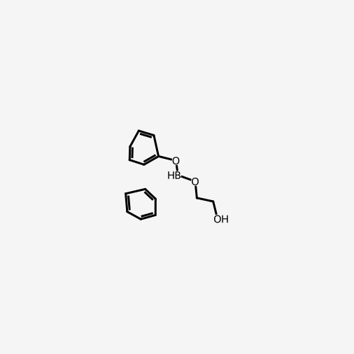 OCCOBOc1ccccc1.c1ccccc1